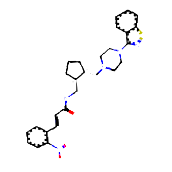 O=C(/C=C/c1ccccc1[N+](=O)[O-])NC[C@H]1CCC[C@@H]1CN1CCN(c2nsc3ccccc23)CC1